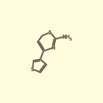 NC1=NC(c2ccsc2)=CCS1